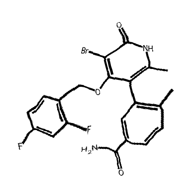 Cc1ccc(C(N)=O)cc1-c1c(C)[nH]c(=O)c(Br)c1OCc1ccc(F)cc1F